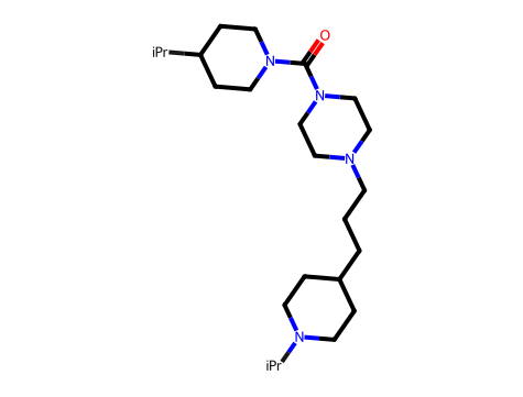 CC(C)C1CCN(C(=O)N2CCN(CCCC3CCN(C(C)C)CC3)CC2)CC1